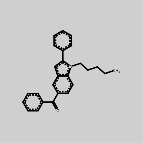 CCCCCn1c(-c2ccccc2)cc2cc(C(=O)c3ccccc3)ccc21